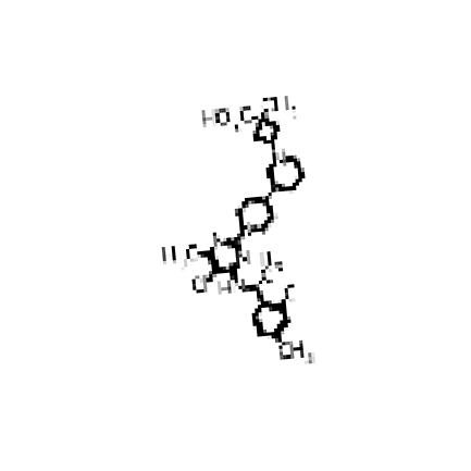 Cc1ccc([C@@H](C)Nc2nc(N3CCC([C@@H]4CCCN([C@H]5C[C@](C)(C(=O)O)C5)C4)CC3)nc(C)c2Cl)c(Cl)c1